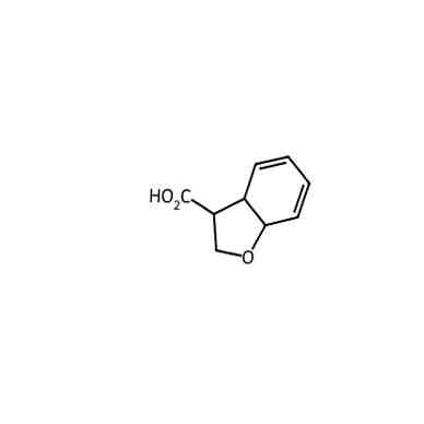 O=C(O)C1COC2C=CC=CC21